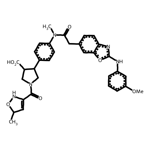 COc1cccc(Nc2nc3ccc(CC(=O)N(C)c4ccc(C5CN(C(=O)C6=CC(C)ON6)CC5C(=O)O)cc4)cc3o2)c1